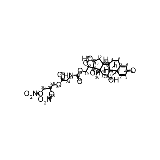 C[C@]12C=CC(=O)C=C1CC[C@H]1[C@@H]3C[C@@H](O)[C@](O)(C(=O)COC(=O)NCC(=O)OCC(CO[N+](=O)[O-])O[N+](=O)[O-])[C@@]3(C)C[C@H](O)[C@@]12F